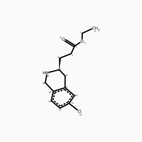 CCOC(=O)CC[C@H]1Cc2cc(Cl)ccc2CN1